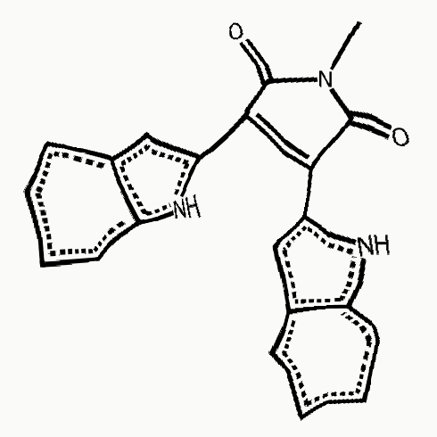 CN1C(=O)C(c2cc3ccccc3[nH]2)=C(c2cc3ccccc3[nH]2)C1=O